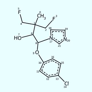 CC(CF)(CF)C(O)C(Oc1ccc(Cl)cc1)n1ccnc1